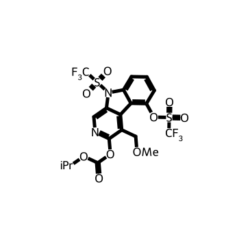 COCc1c(OC(=O)OC(C)C)ncc2c1c1c(OS(=O)(=O)C(F)(F)F)cccc1n2S(=O)(=O)C(F)(F)F